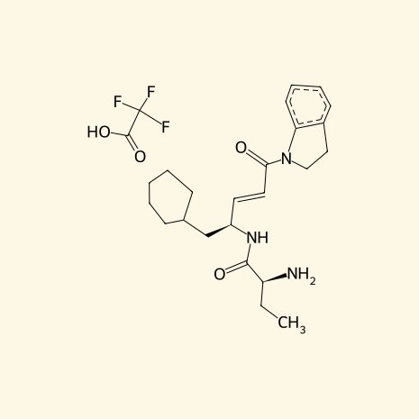 CC[C@H](N)C(=O)N[C@H](C=CC(=O)N1CCc2ccccc21)CC1CCCCC1.O=C(O)C(F)(F)F